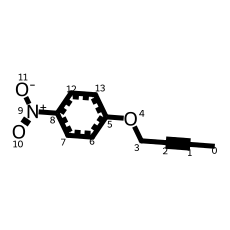 CC#CCOc1ccc([N+](=O)[O-])cc1